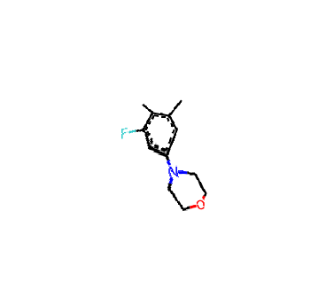 Cc1cc(N2CCOCC2)cc(F)c1C